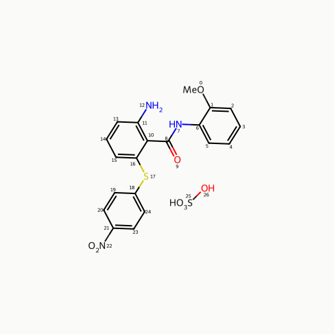 COc1ccccc1NC(=O)c1c(N)cccc1Sc1ccc([N+](=O)[O-])cc1.O=S(=O)(O)O